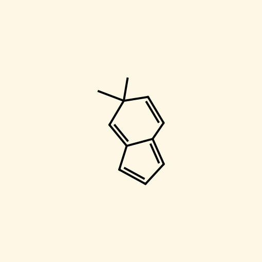 CC1(C)C=CC2=CC=CC2=C1